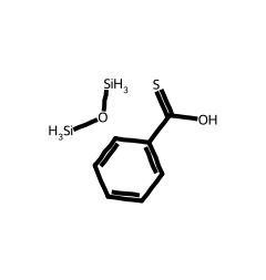 OC(=S)c1ccccc1.[SiH3]O[SiH3]